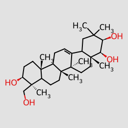 CC1(C)CC2C3=CCC4[C@@]5(C)CC[C@H](O)[C@](C)(CO)C5CC[C@@]4(C)[C@]3(C)CC[C@@]2(C)[C@H](O)[C@@H]1O